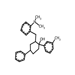 Cc1cccc(C2(O)CCC(c3ccccc3)CC2Cc2ccccc2N(C)C)c1